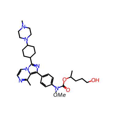 CON(C(=O)OC(C)CCCO)c1ccc(-c2nc(C3CCC(N4CCN(C)CC4)CC3)n3ccnc(C)c23)cc1